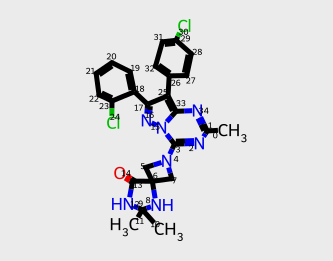 Cc1nc(N2CC3(C2)NC(C)(C)NC3=O)n2nc(-c3ccccc3Cl)c(-c3ccc(Cl)cc3)c2n1